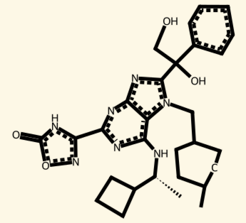 CC1CCC(Cn2c(C(O)(CO)c3ccccc3)nc3nc(-c4noc(=O)[nH]4)nc(N[C@H](C)C4CCC4)c32)CC1